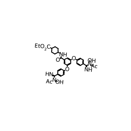 CCOC(=O)C1CCC(NC(=O)c2cc(Oc3ccc(C(=N)N(O)C(C)=O)cc3)cc(Oc3ccc(C(=N)N(O)C(C)=O)cc3)c2)CC1